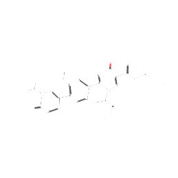 C=C(CCC)c1cn2c(cc1=O)-c1cc(CC)c(C3=CN(C(C)C)C(=C)C=C3)cc1CC2C(C)(C)C